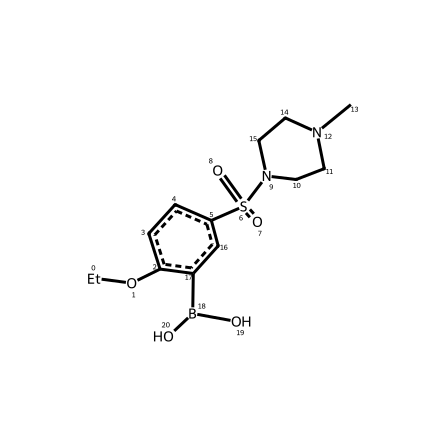 CCOc1ccc(S(=O)(=O)N2CCN(C)CC2)cc1B(O)O